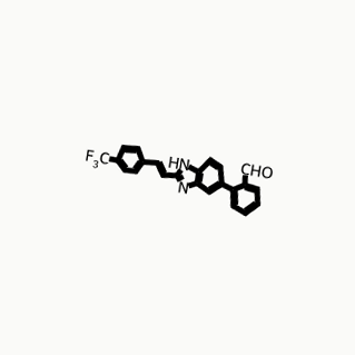 O=Cc1ccccc1-c1ccc2[nH]c(C=Cc3ccc(C(F)(F)F)cc3)nc2c1